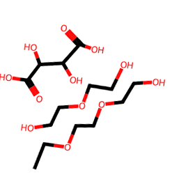 CCOCCOCCO.O=C(O)C(O)C(O)C(=O)O.OCCOCCO